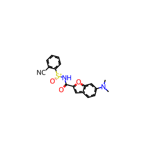 CN(C)c1ccc2cc(C(=O)N[S+]([O-])c3ccccc3C#N)oc2c1